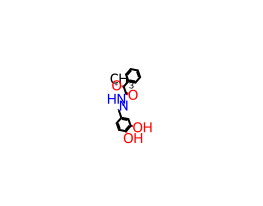 COC(C(=O)N/N=C/c1ccc(O)c(O)c1)c1ccccc1